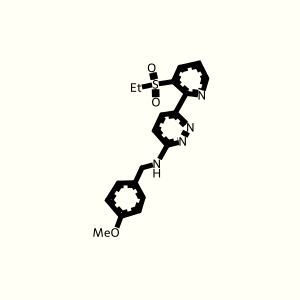 CCS(=O)(=O)c1cccnc1-c1ccc(NCc2ccc(OC)cc2)nn1